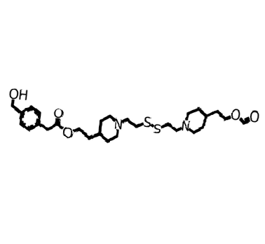 O=COCCC1CCN(CCSSCCN2CCC(CCOC(=O)Cc3ccc(CO)cc3)CC2)CC1